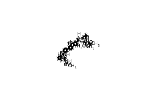 COC(=O)NCC(=O)N1[C@@H]2CC[C@@H](C2)[C@H]1c1nc2ccc(-c3ccc4c(c3)C(F)(F)c3cc(-c5c[nH]c([C@@H]6CC7(CC7)CN6C(=O)C(NC(=O)OC)C(C)C)n5)ccc3-4)cc2[nH]1